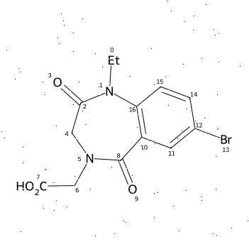 CCN1C(=O)CN(CC(=O)O)C(=O)c2cc(Br)ccc21